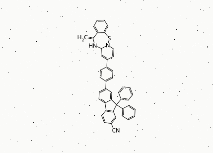 C=C1NC2C=C(c3ccc(-c4ccc5c(c4)C(c4ccccc4)(c4ccccc4)c4cc(C#N)ccc4-5)cc3)C=CN2Sc2ccccc21